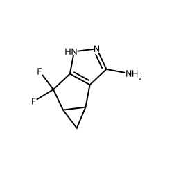 Nc1n[nH]c2c1C1CC1C2(F)F